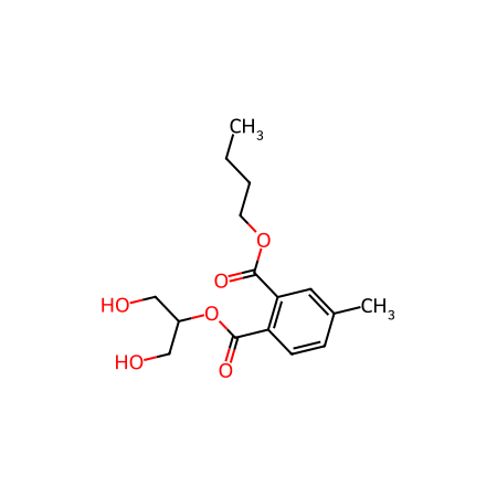 CCCCOC(=O)c1cc(C)ccc1C(=O)OC(CO)CO